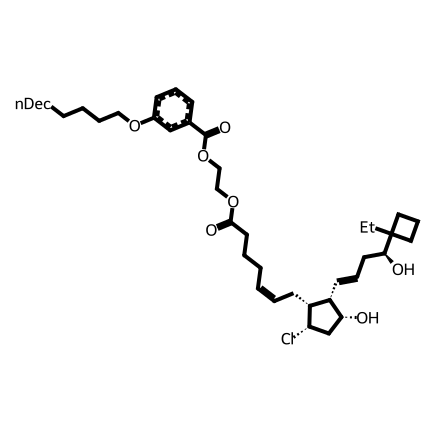 CCCCCCCCCCCCCCOc1cccc(C(=O)OCCOC(=O)CCC/C=C\C[C@@H]2[C@H](/C=C/C[C@H](O)C3(CC)CCC3)[C@H](O)C[C@@H]2Cl)c1